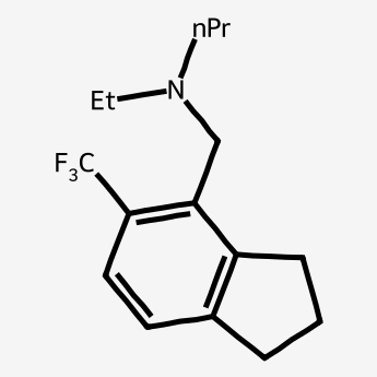 CCCN(CC)Cc1c(C(F)(F)F)ccc2c1CCC2